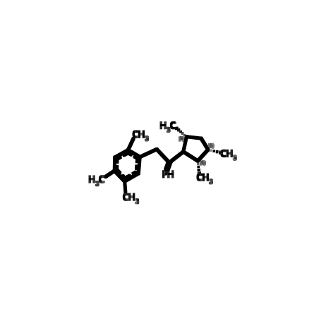 Cc1cc(C)c(CC(=P)C2[C@H](C)C[C@H](C)[C@@H]2C)cc1C